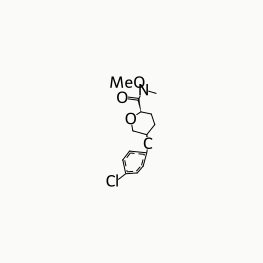 CON(C)C(=O)[C@H]1CC[C@@H](Cc2ccc(Cl)cc2)CO1